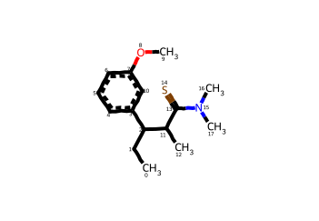 CCC(c1cccc(OC)c1)C(C)C(=S)N(C)C